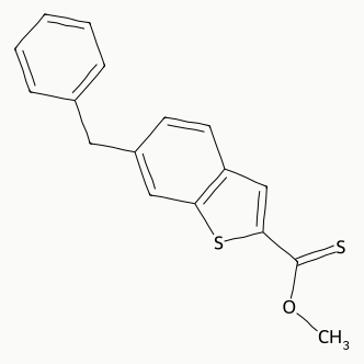 COC(=S)c1cc2ccc(Cc3ccccc3)cc2s1